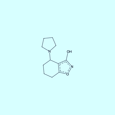 Oc1noc2c1C(N1CCCC1)CCC2